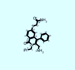 CC(C)Cn1c(CN)c(-c2ccccc2)c2cc(SCC(N)=O)ccc2c1=O